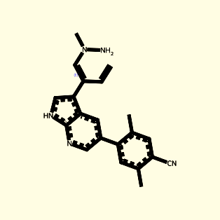 C=C/C(=C\N(C)N)c1c[nH]c2ncc(-c3cc(C)c(C#N)cc3C)cc12